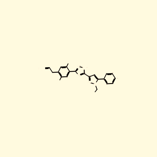 C=CCc1cc(C)c(-c2noc(-c3cc(-c4ccccc4)n(CC)n3)n2)cc1C